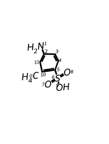 C.Nc1ccc(S(=O)(=O)O)cc1